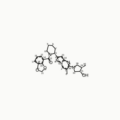 Cc1cn2nc([C@@H]3CCCCN3C(=O)c3cccc4c3OCO4)cc2nc1N1C[C@@H](C)[C@@H](O)C1